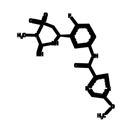 COc1cnc(C(=O)Nc2ccc(F)c([C@@H]3CS(=O)(=O)N(C)C(=N)N3)c2)cn1